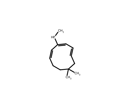 CPC1=C/C=C/CC(C)(C)CC/C=C\1